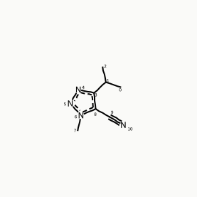 CC(C)c1nnn(C)c1C#N